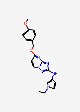 CCn1ccc(Nc2nc3nc(OCc4ccc(OC)cc4)ccn3n2)c1